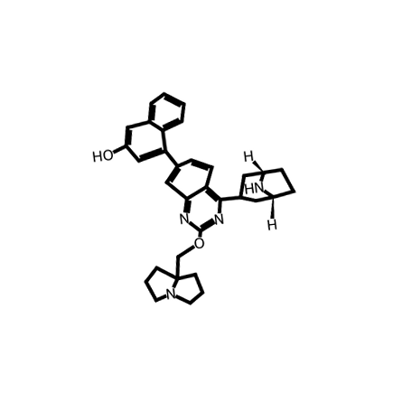 Oc1cc(-c2ccc3c(C4C[C@H]5CC[C@@H](C4)N5)nc(OCC45CCCN4CCC5)nc3c2)c2ccccc2c1